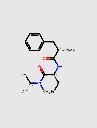 CN[C@@H](Cc1ccccc1)C(=O)N[C@@H](CC(C)C)C(=O)N(C)[C@H](C(C)=O)C(C)C